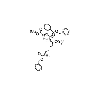 CC(C)(C)OC(=O)NN(C(=O)N[C@@H](CCCCNC(=O)OCc1ccccc1)C(=O)O)c1ccccc1C(=O)OCc1ccccc1